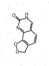 O=c1nc2c3c(ccc2c[nH]1)COO3